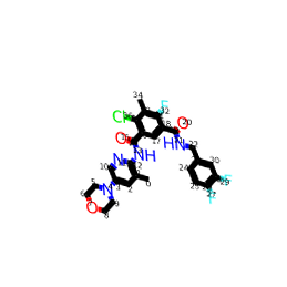 Cc1cc(N2CCOCC2)cnc1NC(=O)c1cc(C(=O)NCc2ccc(F)c(F)c2)c(F)c(C)c1Cl